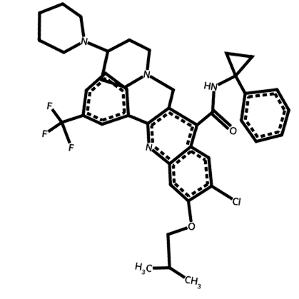 CC(C)COc1cc2nc(-c3cccc(C(F)(F)F)c3)c(CN3CCC(N4CCCCC4)CC3)c(C(=O)NC3(c4ccccc4)CC3)c2cc1Cl